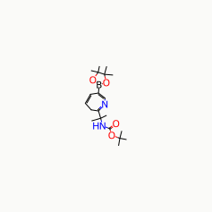 CC(C)(C)OC(=O)NC(C)(C)C1=NC=C(B2OC(C)(C)C(C)(C)O2)C=CC1